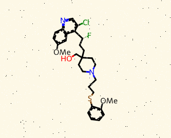 COc1ccc2ncc(Cl)c([C@H](F)CCC3(CO)CCN(CCCSc4ccccc4OC)CC3)c2c1